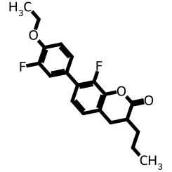 CCCC1Cc2ccc(-c3ccc(OCC)c(F)c3)c(F)c2OC1=O